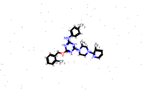 CC1CN(c2ncccc2C(F)(F)F)CCN1c1nc(Nc2ccc(C(F)(F)F)cc2)nc(OCc2ccccc2C(F)(F)F)n1